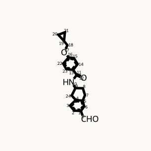 O=Cc1ccc2c(c1)CCC(NC(=O)c1ccc(OCC3CC3)cc1)C2